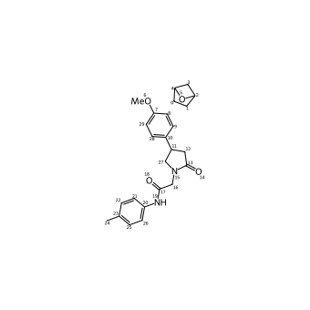 C1CC2CC1O2.COc1ccc(C2CC(=O)N(CC(=O)Nc3ccc(C)cc3)C2)cc1